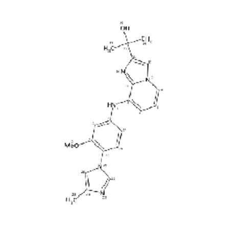 COc1cc(Nc2cccn3cc(C(C)(C)O)nc23)ccc1-n1cnc(C)c1